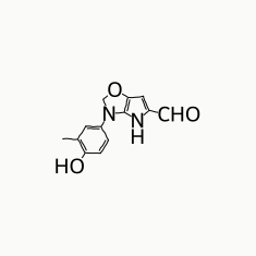 Cc1cc(N2COc3cc(C=O)[nH]c32)ccc1O